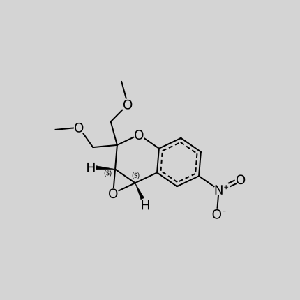 COCC1(COC)Oc2ccc([N+](=O)[O-])cc2[C@@H]2O[C@@H]21